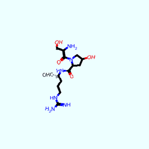 N=C(N)NCCC[C@H](C=O)NC(=O)C1CC(O)CN1C(=O)C(N)CO